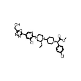 CC[C@H]1CN(c2ncc(-c3nnc(CO)o3)cc2Cl)CCN1C1CCN(C(C(=O)OC)c2ccc(Cl)cc2)CC1